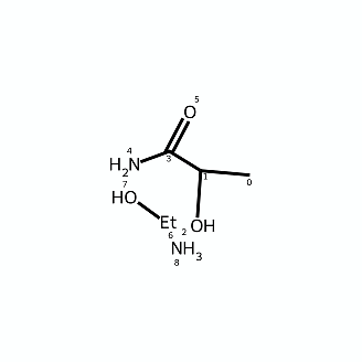 CC(O)C(N)=O.CCO.N